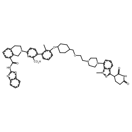 Cc1c(OC2CCC(COCCN3CCN(c4cccc5c(C6CCC(=O)NC6=O)nn(C)c45)CC3)CC2)cccc1-c1ccc(N2CCc3cccc(C(=O)Nc4nc5ccccc5s4)c3C2)nc1C(=O)O